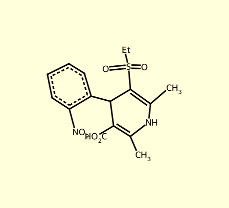 CCS(=O)(=O)C1=C(C)NC(C)=C(C(=O)O)C1c1ccccc1[N+](=O)[O-]